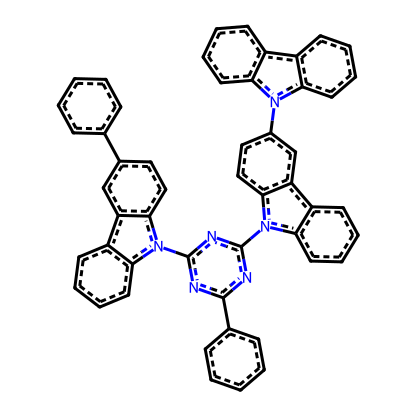 c1ccc(-c2ccc3c(c2)c2ccccc2n3-c2nc(-c3ccccc3)nc(-n3c4ccccc4c4cc(-n5c6ccccc6c6ccccc65)ccc43)n2)cc1